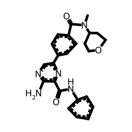 CN(C(=O)c1ccc(-c2cnc(N)c(C(=O)Nc3ccccc3)n2)cc1)C1CCOCC1